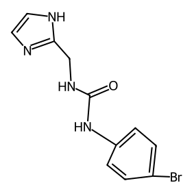 O=C(NCc1ncc[nH]1)Nc1ccc(Br)cc1